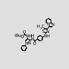 Cc1sc(Nc2ccc(C(=O)Nc3nn(-c4ccccc4)cc3NC(=O)OC(C)(C)C)cc2)nc1-c1cnc2ccccn12